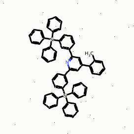 Cc1ccccc1-c1cc(-c2cccc([Si](c3ccccc3)(c3ccccc3)c3ccccc3)c2)nc(-c2cccc([Si](c3ccccc3)(c3ccccc3)c3ccccc3)c2)c1